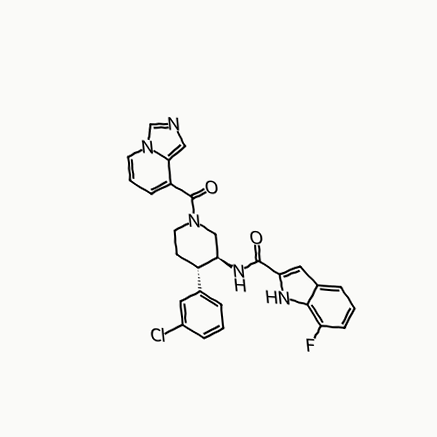 O=C(N[C@@H]1CN(C(=O)c2cccn3cncc23)CC[C@H]1c1cccc(Cl)c1)c1cc2cccc(F)c2[nH]1